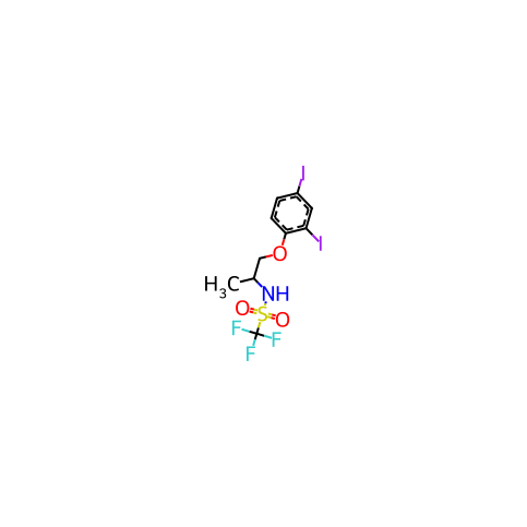 CC(COc1ccc(I)cc1I)NS(=O)(=O)C(F)(F)F